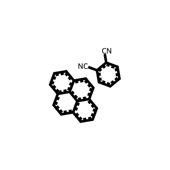 N#Cc1ccccc1C#N.c1cc2ccc3cccc4ccc(c1)c2c34